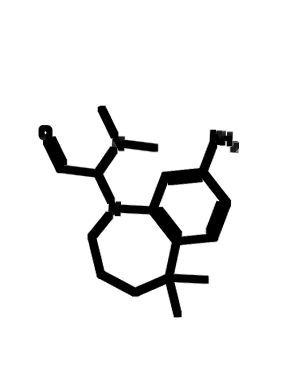 CN(C)C(C=O)N1CCCC(C)(C)c2ccc(N)cc21